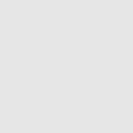 O=C(O)c1ccc2c(c1)CCCC(c1ccc(F)cc1F)=C2c1ccc(C=C2CN(CCCF)C2)cc1